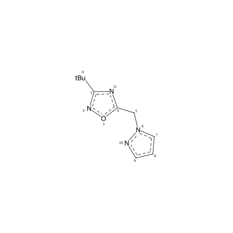 CC(C)(C)c1noc(Cn2cccn2)n1